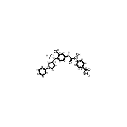 CN(c1ccc(NC(=O)N(S)c2ccc(C(N)=O)cc2)cc1Cl)C1CCN(c2ccccc2)C1